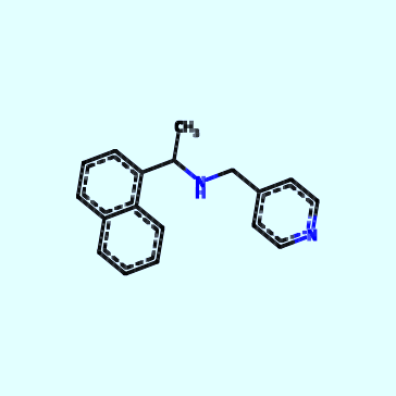 CC(NCc1ccncc1)c1cccc2ccccc12